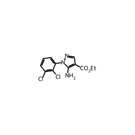 CCOC(=O)c1cnn(-c2cccc(Cl)c2Cl)c1N